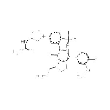 COc1cc(-c2nn(-c3cc(N4CCC(NC(C)=O)C4)ccc3C(F)(F)F)c(=O)c3c2CCN3CCO)ccc1F